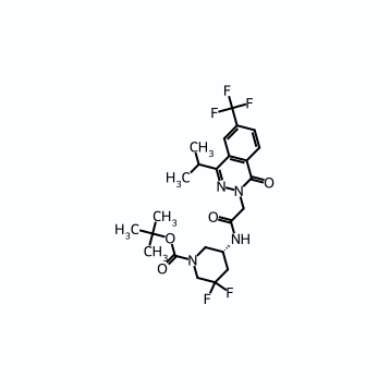 CC(C)c1nn(CC(=O)N[C@H]2CN(C(=O)OC(C)(C)C)CC(F)(F)C2)c(=O)c2ccc(C(F)(F)F)cc12